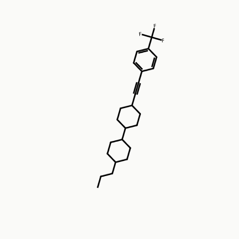 CCCC1CCC(C2CCC(C#Cc3ccc(C(F)(F)F)cc3)CC2)CC1